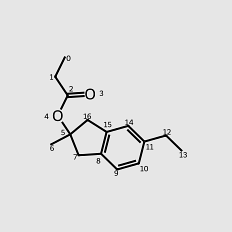 CCC(=O)OC1(C)Cc2ccc(CC)cc2C1